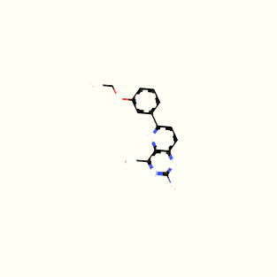 CCCc1nc(N)nc2ccc(-c3cccc(OCC#N)c3)nc12